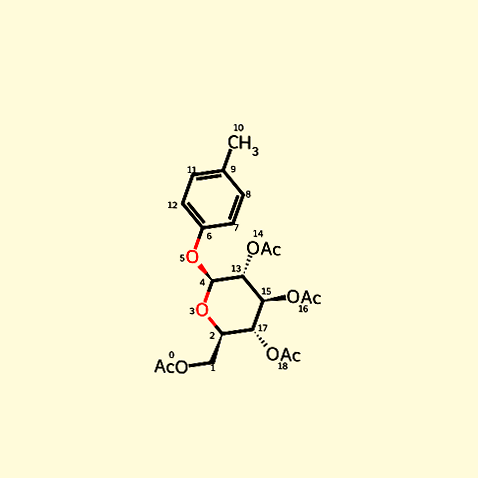 CC(=O)OC[C@H]1O[C@@H](Oc2ccc(C)cc2)[C@H](OC(C)=O)[C@@H](OC(C)=O)[C@@H]1OC(C)=O